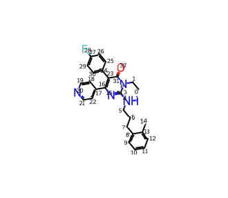 CCn1c(NCCCc2ccccc2C)nc(-c2ccncc2)c(-c2ccc(F)cc2)c1=O